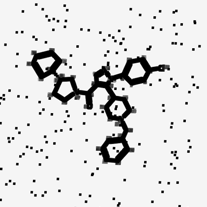 O=C(c1cnn(-c2ccc(Cl)cc2)c1C1CCN(Cc2ccccc2)CC1)N1CC[C@H](c2ccccc2)C1